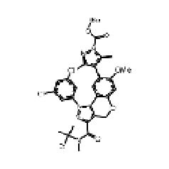 CCC(C)(C)N(C)C(=O)c1nn(-c2cc(Cl)cc(Cl)c2)c2c1COc1cc(OC)c(-c3c(C)nn(C(=O)OC(C)(C)C)c3C)cc1-2